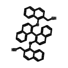 OCc1ccc2ccccc2c1Oc1ccc2ccccc2c1-c1c(Oc2c(CO)ccc3ccccc23)ccc2ccccc12